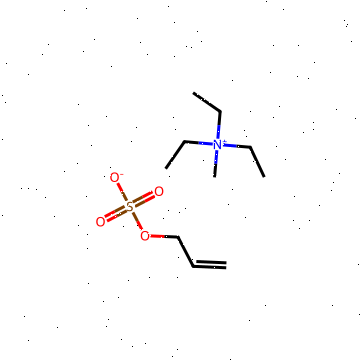 C=CCOS(=O)(=O)[O-].CC[N+](C)(CC)CC